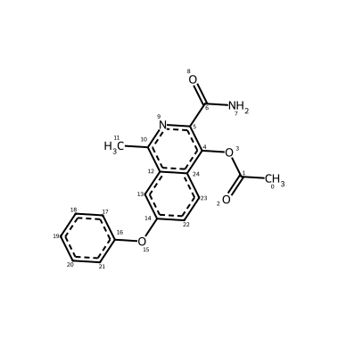 CC(=O)Oc1c(C(N)=O)nc(C)c2cc(Oc3ccccc3)ccc12